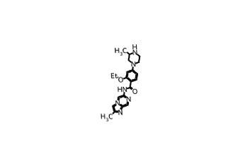 CCOc1cc(N2CCNC(C)C2)ccc1C(=O)Nc1cn2cc(C)nc2cn1